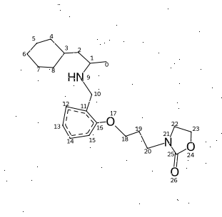 CC(CC1CCCCC1)NCc1ccccc1OCCCN1CCOC1=O